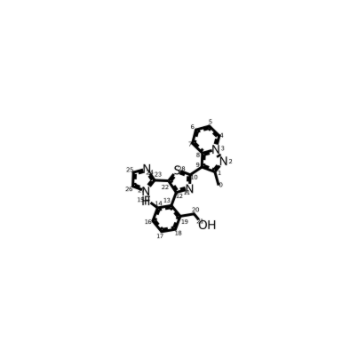 Cc1nn2ccccc2c1-c1nc(-c2c(F)cccc2CO)c(-c2ncc[nH]2)s1